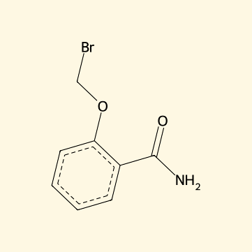 NC(=O)c1ccccc1OCBr